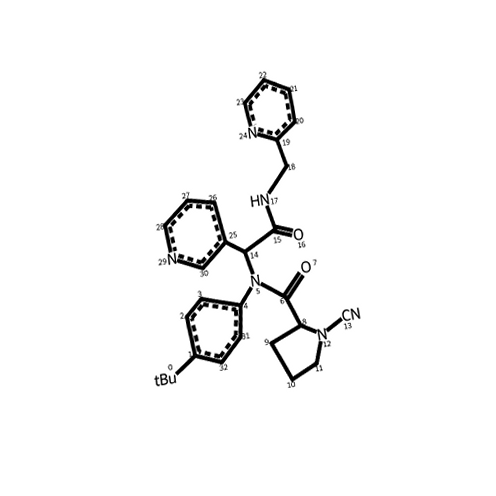 CC(C)(C)c1ccc(N(C(=O)C2CCCN2C#N)C(C(=O)NCc2ccccn2)c2cccnc2)cc1